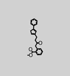 COC(=O)c1ccccc1CC(=O)CCC1=CCC(c2ccccc2)=C1